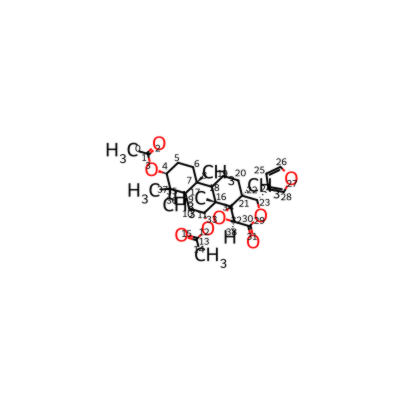 CC(=O)O[C@H]1CC[C@@]2(C)C(C[C@@H](OC(C)=O)[C@]3(C)C2CC[C@@]2(C)[C@H](c4ccoc4)OC(=O)[C@H]4O[C@]423)C1(C)C